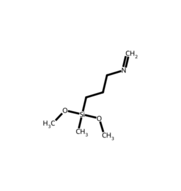 C=NCCC[Si](C)(OC)OC